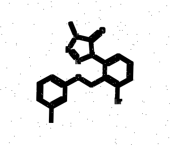 Cc1cccc(OCc2c(Br)cccc2-n2nnn(C)c2=O)c1